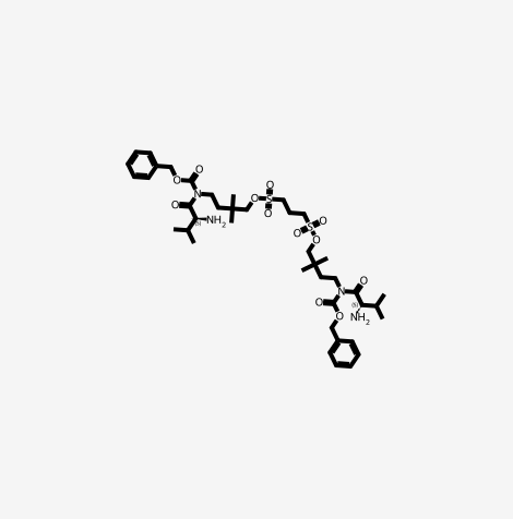 CC(C)[C@H](N)C(=O)N(CCC(C)(C)COS(=O)(=O)CCCS(=O)(=O)OCC(C)(C)CCN(C(=O)OCc1ccccc1)C(=O)[C@@H](N)C(C)C)C(=O)OCc1ccccc1